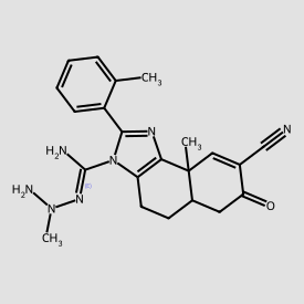 Cc1ccccc1-c1nc2c(n1/C(N)=N/N(C)N)CCC1CC(=O)C(C#N)=CC21C